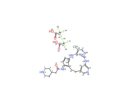 O=C(CC1CCNCC1)Nc1ccc2cc1CCc1cncc(c1)Nc1ncc(Cl)c(n1)N2.O=C(O)C(F)(F)F.O=C(O)C(F)(F)F